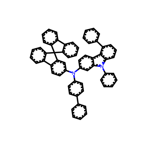 c1ccc(-c2ccc(N(c3ccc4c(c3)C3(c5ccccc5-c5ccccc53)c3ccccc3-4)c3ccc4c5c(-c6ccccc6)cccc5n(-c5ccccc5)c4c3)cc2)cc1